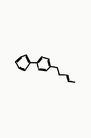 CC=CC[CH]c1ccc(-c2ccccc2)cc1